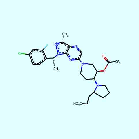 Cc1nn([C@H](C)c2ccc(Cl)cc2F)c2nc(N3CC[C@H](N4CCC[C@H]4CCC(=O)O)[C@H](OC(=O)C(F)(F)F)C3)cnc12